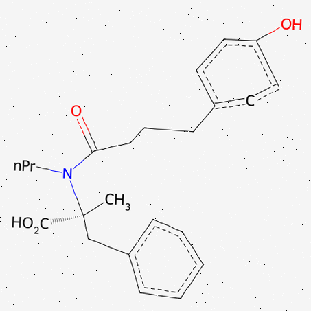 CCCN(C(=O)CCCc1ccc(O)cc1)[C@@](C)(Cc1ccccc1)C(=O)O